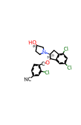 N#Cc1ccc(CO[C@H]2c3cc(Cl)cc(Cl)c3C[C@@H]2N2CC[C@@H](O)C2)c(Cl)c1